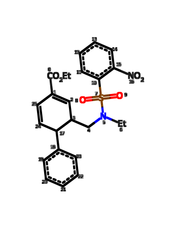 CCOC(=O)C1=CC(CN(CC)S(=O)(=O)c2ccccc2[N+](=O)[O-])C(c2ccccc2)C=C1